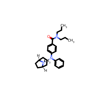 CCCN(CCC)C(=O)c1ccc(N(c2ccccc2)[C@@H]2C[C@H]3CC[C@@H](C2)N3C)cc1